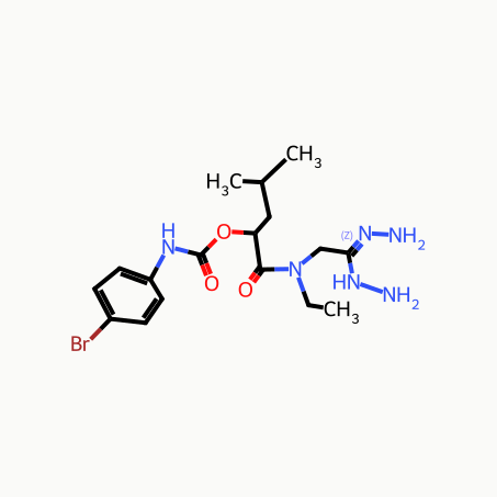 CCN(C/C(=N/N)NN)C(=O)C(CC(C)C)OC(=O)Nc1ccc(Br)cc1